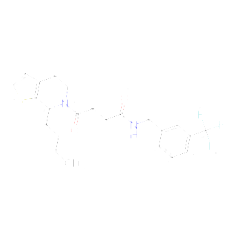 CCCCC1c2sccc2CCN1C(=O)CCC(=O)NCc1cccc(C(F)(F)F)c1